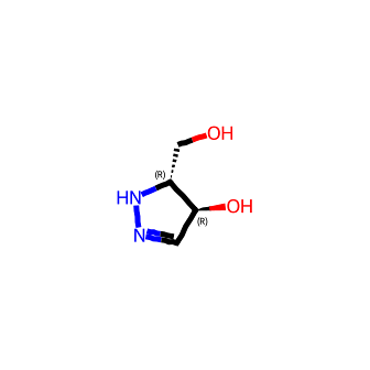 OC[C@H]1NN=C[C@@H]1O